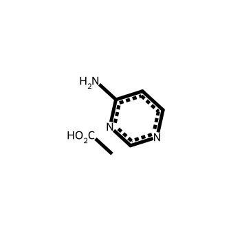 CC(=O)O.Nc1ccncn1